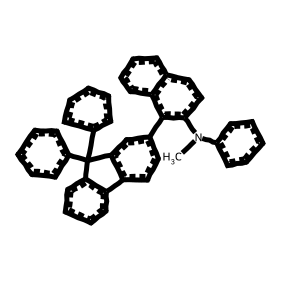 CN(c1ccccc1)c1ccc2ccccc2c1-c1ccc2c(c1)C(c1ccccc1)(c1ccccc1)c1ccccc1-2